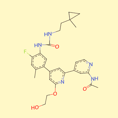 CC(=O)Nc1cc(-c2cc(-c3cc(NC(=O)NCCC4(C)CC4)c(F)cc3C)cc(OCCO)n2)ccn1